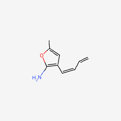 C=C/C=C\c1cc(C)oc1N